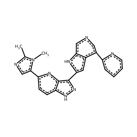 Cc1ncc(-c2ccc3[nH]nc(-c4cc5c(-c6ccccn6)cncc5[nH]4)c3n2)n1C